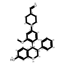 COc1cc(N2CCC(C=O)CC2)ccc1[C@@H]1c2ccc(O)cc2OC[C@@H]1c1ccccc1